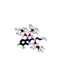 CCCN(C(=O)OC(C)(C)C)C(=O)c1ncc2c(Br)c(F)ccc2c1N(C(=O)OC(C)(C)C)C(=O)OC(C)(C)C